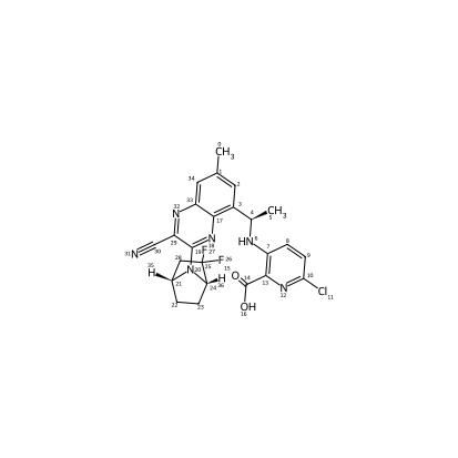 Cc1cc([C@@H](C)Nc2ccc(Cl)nc2C(=O)O)c2nc(N3[C@@H]4CC[C@H]3C(F)(F)C4)c(C#N)nc2c1